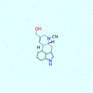 N#CN1CC(CO)=C[C@@H]2c3cccc4[nH]cc(c34)C[C@H]21